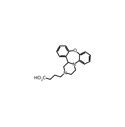 O=C(O)CCCN1CCN2c3ccccc3Oc3ccccc3C2C1